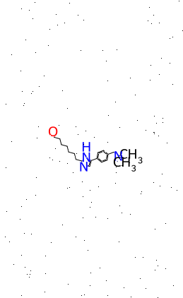 CN(C)Cc1ccc(-c2cnc(CCCCCCC=O)[nH]2)cc1